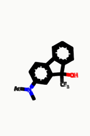 CC(=O)N(C)c1ccc2c(c1)C(O)(C(F)(F)F)c1ccccc1-2